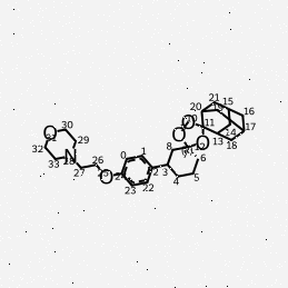 c1cc(C2CCC[C@]3(C2)OOC2(O3)C3CC4CC(C3)CC2C4)ccc1OCCN1CCOCC1